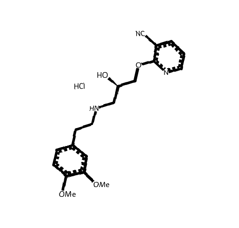 COc1ccc(CCNC[C@@H](O)COc2ncccc2C#N)cc1OC.Cl